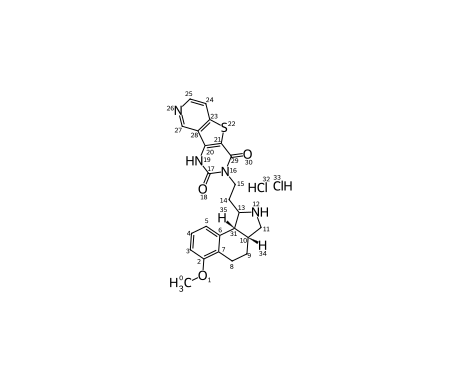 COc1cccc2c1CC[C@H]1CNC(CCn3c(=O)[nH]c4c(sc5ccncc54)c3=O)[C@@H]21.Cl.Cl